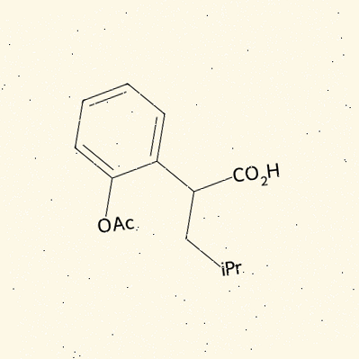 CC(=O)Oc1ccccc1C(CC(C)C)C(=O)O